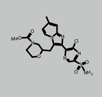 COC(=O)N1CCOC(Cc2c(-c3ncc(S(N)(=O)=O)nc3Cl)nc3cc(C)ccn23)C1